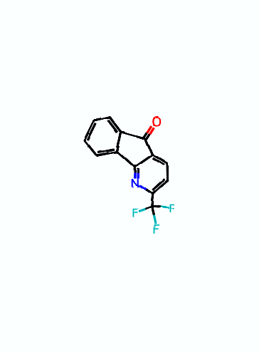 O=C1c2ccccc2-c2nc(C(F)(F)F)ccc21